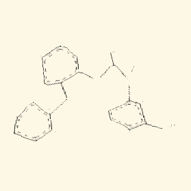 CCN(c1cccc(OC)c1)C(C)Oc1ccccc1Cc1ccccc1